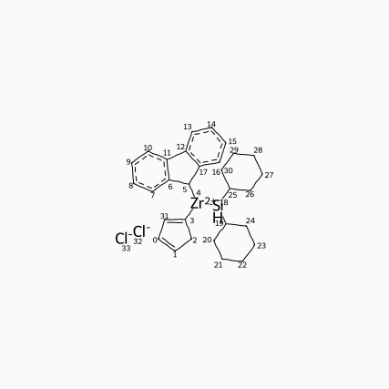 C1=CC[C]([Zr+2]([CH]2c3ccccc3-c3ccccc32)[SiH](C2CCCCC2)C2CCCCC2)=C1.[Cl-].[Cl-]